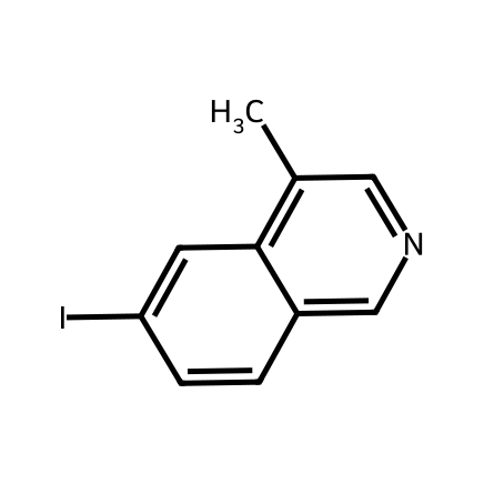 Cc1cncc2ccc(I)cc12